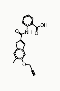 C#CCOc1cc2c(cc1C)CC(C(=O)Nc1ccccc1C(=O)O)=C2